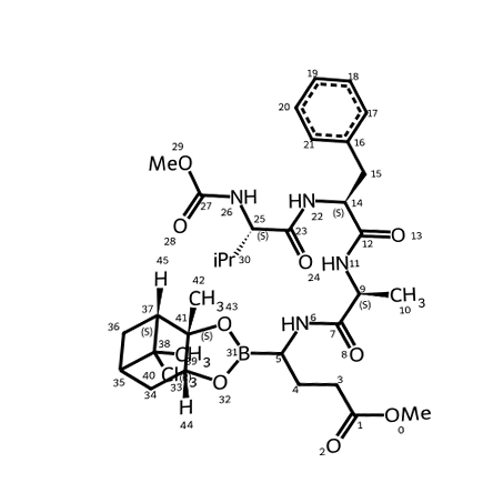 COC(=O)CCC(NC(=O)[C@H](C)NC(=O)[C@H](Cc1ccccc1)NC(=O)[C@@H](NC(=O)OC)C(C)C)B1O[C@@H]2CC3C[C@@H](C3(C)C)[C@]2(C)O1